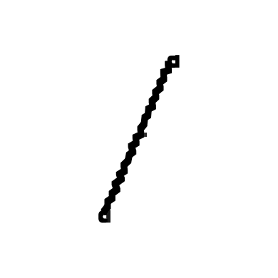 ClCCCCCCCCCCCCCCC[CH]CCCCCCCCCCCCCCCCCCl